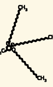 CCCCCCCCCCCCCCCCCCOC1CC(CC)CC(OCCCCCCCCCCCCCCCCCC)C1OCCCCCCCCCCCCCCCCCC